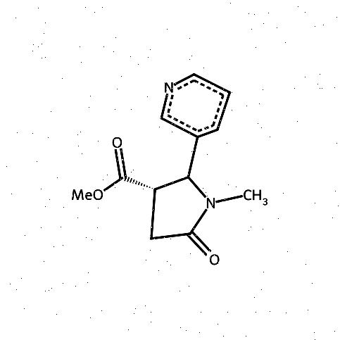 COC(=O)[C@H]1CC(=O)N(C)C1c1cccnc1